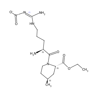 CCOC(=O)[C@@H]1C[C@@H](C)CCN1C(=O)[C@@H](N)CCCN/C(N)=N\[N+](=O)[O-]